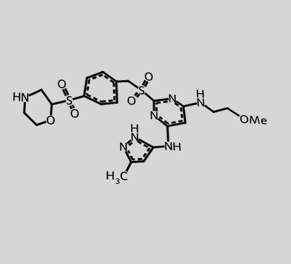 COCCNc1cc(Nc2cc(C)n[nH]2)nc(S(=O)(=O)Cc2ccc(S(=O)(=O)C3CNCCO3)cc2)n1